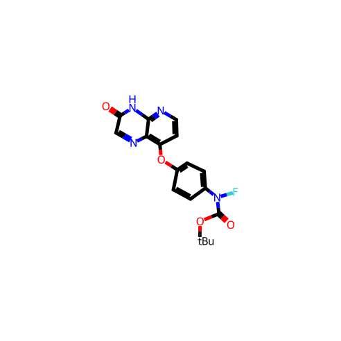 CC(C)(C)OC(=O)N(F)c1ccc(Oc2ccnc3[nH]c(=O)cnc23)cc1